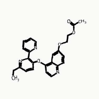 CCc1ccc(Oc2ccnc3ccc(OCCOC(C)=O)cc23)c(-c2ccccn2)n1